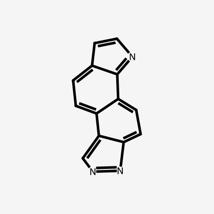 C1=Cc2ccc3c4c(ccc3c2=N1)N=NC=4